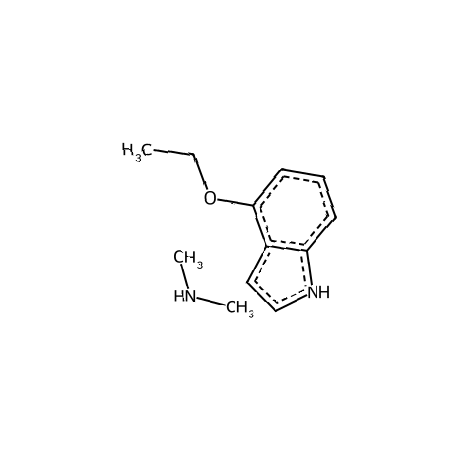 CCOc1cccc2[nH]ccc12.CNC